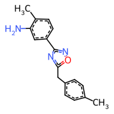 Cc1ccc(Cc2nc(-c3ccc(C)c(N)c3)no2)cc1